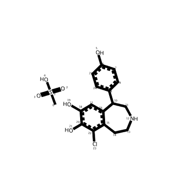 CS(=O)(=O)O.Oc1ccc(C2CNCCc3c2cc(O)c(O)c3Cl)cc1